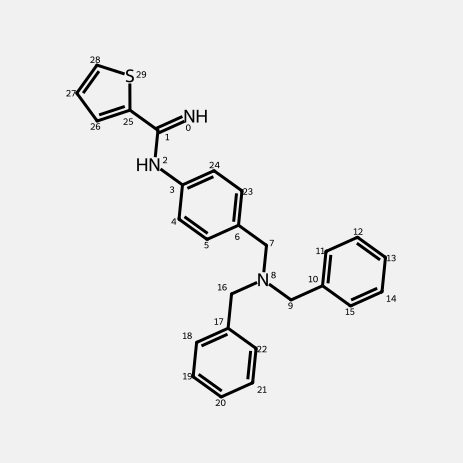 N=C(Nc1ccc(CN(Cc2ccccc2)Cc2ccccc2)cc1)c1cccs1